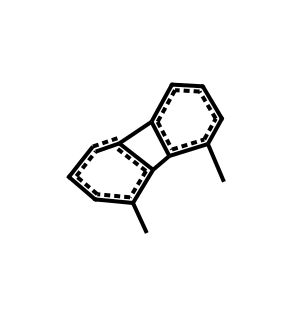 Cc1cccc2c1-c1c(C)cccc1-2